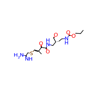 CCCOC(=O)NCC[C@@H](C=O)CNC(=O)C(=O)/C(C)=C/SCC(=N)N